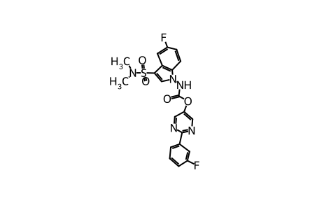 CN(C)S(=O)(=O)c1cn(NC(=O)Oc2cnc(-c3cccc(F)c3)nc2)c2ccc(F)cc12